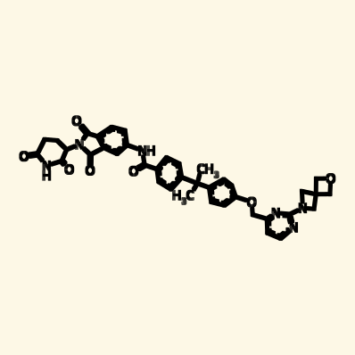 CC(C)(c1ccc(OCc2ccnc(N3CC4(COC4)C3)n2)cc1)c1ccc(C(=O)Nc2ccc3c(c2)C(=O)N(C2CCC(=O)NC2=O)C3=O)cc1